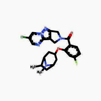 CC1CC2CC(Oc3cc(F)ccc3C(=O)N3Cc4nn5cc(Cl)cnc5c4C3)CC1N2C